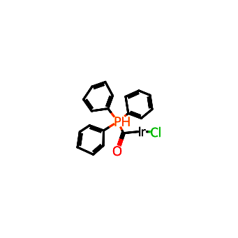 O=[C]([Ir][Cl])[PH](c1ccccc1)(c1ccccc1)c1ccccc1